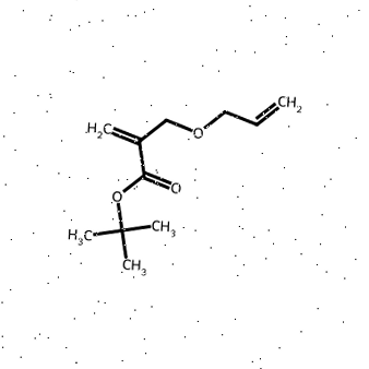 C=CCOCC(=C)C(=O)OC(C)(C)C